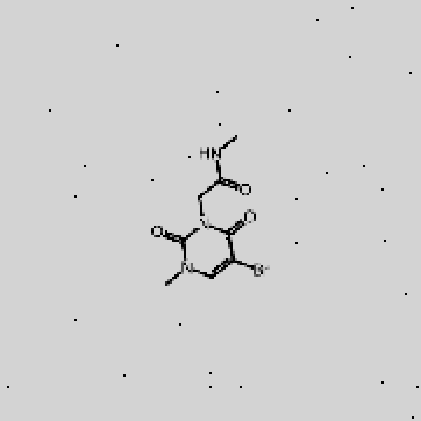 CNC(=O)Cn1c(=O)c(Br)cn(C)c1=O